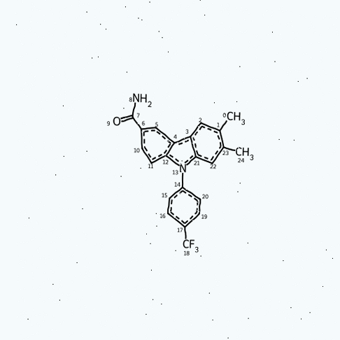 Cc1cc2c3cc(C(N)=O)ccc3n(-c3ccc(C(F)(F)F)cc3)c2cc1C